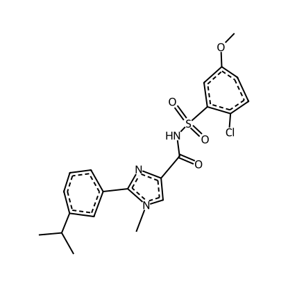 COc1ccc(Cl)c(S(=O)(=O)NC(=O)c2cn(C)c(-c3cccc(C(C)C)c3)n2)c1